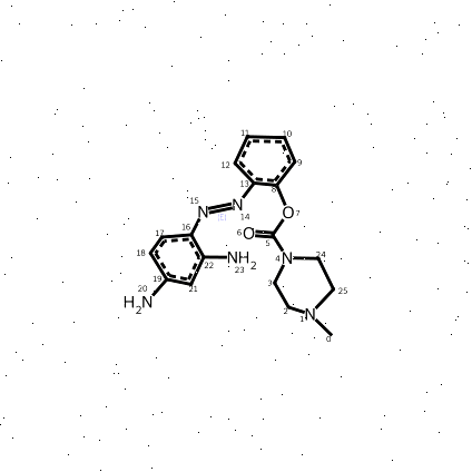 CN1CCN(C(=O)Oc2ccccc2/N=N/c2ccc(N)cc2N)CC1